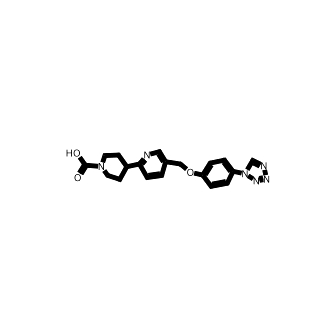 O=C(O)N1CCC(c2ccc(COc3ccc(-n4cnnn4)cc3)cn2)CC1